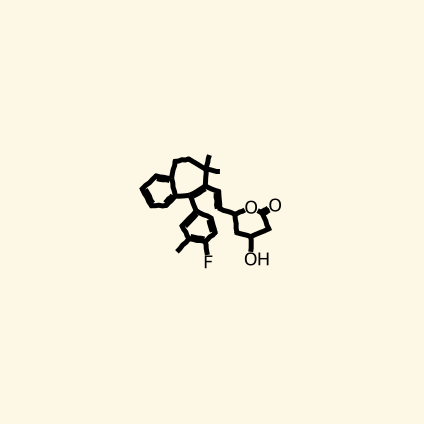 Cc1cc(C2=C(C=CC3CC(O)CC(=O)O3)C(C)(C)CCc3ccccc32)ccc1F